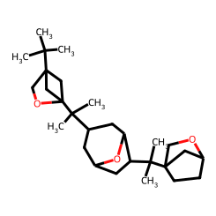 CC(C)(C)C12COC(C(C)(C)C3CC4CC(C(C)(C)C56CCC(C5)OC6)C(C3)O4)(C1)C2